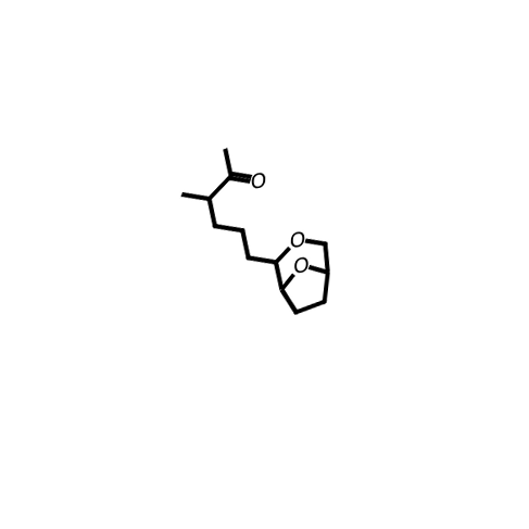 CC(=O)C(C)CCCC1OCC2CCC1O2